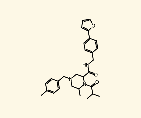 Cc1ccc(CN2CC(C)N(C(=O)C(C)C)C(C(=O)NCc3ccc(-c4ccco4)cc3)C2)cc1